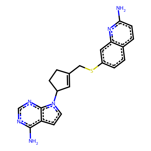 Nc1ccc2ccc(SCC3=CC(n4ccc5c(N)ncnc54)CC3)cc2n1